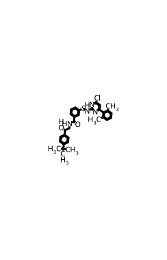 Cc1cccc(C)c1-c1cc(Cl)nc(NSc2cccc(C(=O)NCC(O)c3ccc(C(C)(C)C)cc3)c2)n1